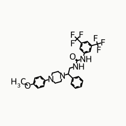 COc1ccc(N2CCN(C(CNC(=O)Nc3cc(C(F)(F)F)cc(C(F)(F)F)c3)c3ccccc3)CC2)cc1